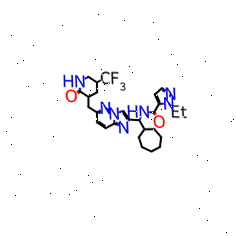 CCn1nccc1C(=O)NC(c1cn2nc(CC3CC(C(F)(F)F)CNC3=O)ccc2n1)C1CCCCCC1